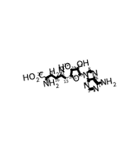 Nc1ncnc2c1ncn2[C@@H]1O[C@H](C[C@@H](N)CC[C@H](N)C(=O)O)C(O)C1O